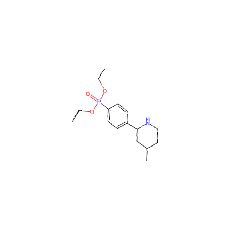 CCOP(=O)(OCC)c1ccc(C2CC(C)CCN2)cc1